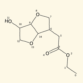 CCOC(=O)CC1COC2C(O)COC12